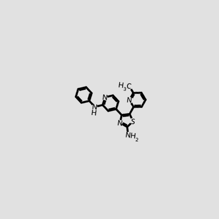 Cc1cccc(-c2sc(N)nc2-c2ccnc(Nc3ccccc3)c2)n1